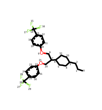 CCCC1CCC(C(COc2ccc(C(F)(F)F)cc2)COc2ccc(C(F)(F)F)cc2)CC1